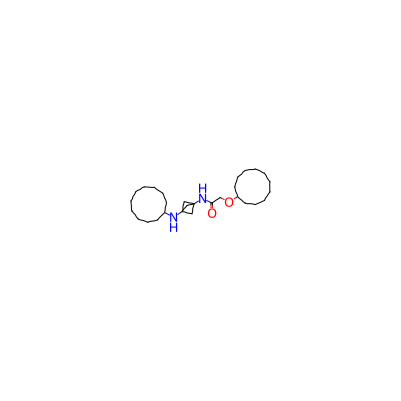 O=C(COC1CCCCCCCCCC1)NC12CC(NC3CCCCCCCCCC3)(C1)C2